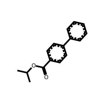 CC(C)OC(=O)c1ccc(-c2ccccc2)cc1